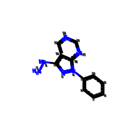 NNc1nn(-c2ccccc2)c2ncncc12